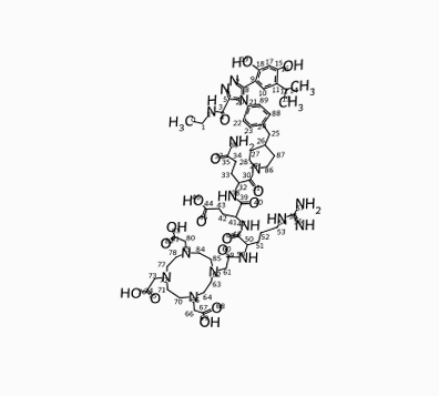 CCNC(=O)c1nnc(-c2cc(C(C)C)c(O)cc2O)n1-c1ccc(CC2CCN(C(=O)C(CCC(N)=O)NC(=O)C(CCC(=O)O)NC(=O)C(CCCNC(=N)N)NC(=O)CN3CCN(CC(=O)O)CCN(CC(=O)O)CCN(CC(=O)O)CC3)CC2)cc1